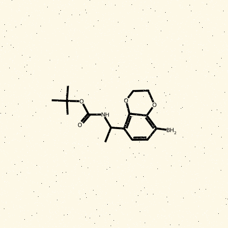 Bc1ccc(C(C)NC(=O)OC(C)(C)C)c2c1OCCO2